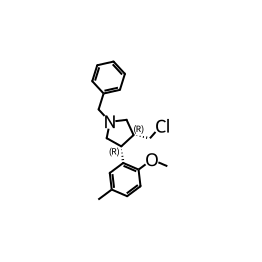 COc1ccc(C)cc1[C@@H]1CN(Cc2ccccc2)C[C@@H]1CCl